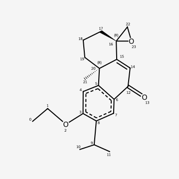 CCOc1cc2c(cc1C(C)C)C(=O)C=C1[C@]3(CCC[C@@]12C)CO3